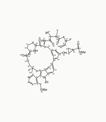 CCn1c(-c2cnccc2COC)c2c3cc(ccc31)-c1cc(O)cc(c1)C[C@H](NC(=O)C(C(C)C)N(C)C(=O)CN(C)C(=O)[C@H]1CN1C(=O)OC)C(=O)N1CCC[C@H](N1)C(=O)OCC(C)(C)C2